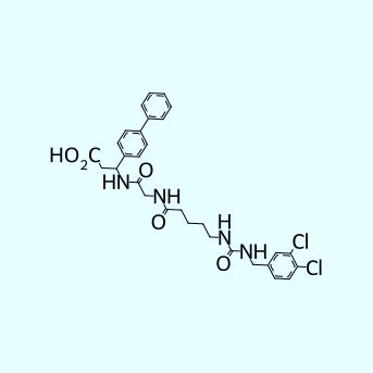 O=C(O)CC(NC(=O)CNC(=O)CCCCNC(=O)NCc1ccc(Cl)c(Cl)c1)c1ccc(-c2ccccc2)cc1